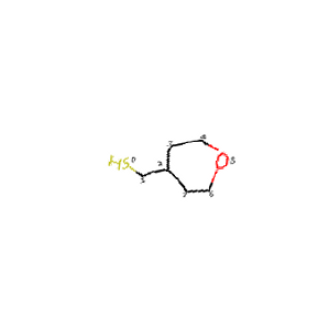 SCC1CCOCC1